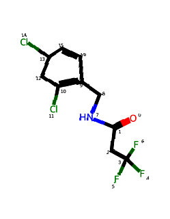 O=C(CC(F)(F)F)NCC1=C(Cl)CC(Cl)C=C1